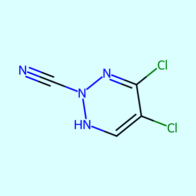 N#CN1N=C(Cl)C(Cl)=CN1